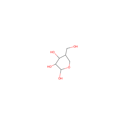 OCC1COC(O)C(O)C1O